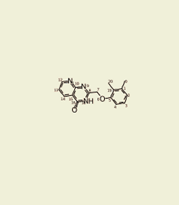 Cc1cccc(OCc2nc3ncccc3c(=O)[nH]2)c1C